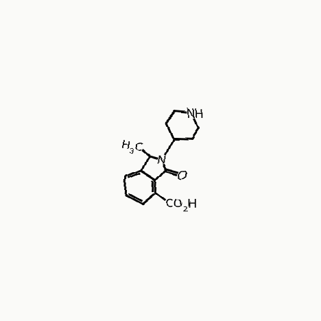 CC1c2cccc(C(=O)O)c2C(=O)N1C1CCNCC1